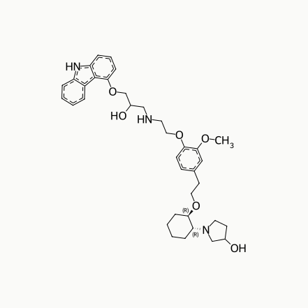 COc1cc(CCO[C@@H]2CCCC[C@H]2N2CCC(O)C2)ccc1OCCNCC(O)COc1cccc2[nH]c3ccccc3c12